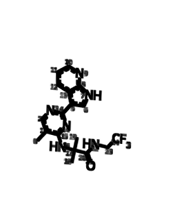 Cc1cnc(-c2c[nH]c3ncccc23)nc1NC(C)(C)C(=O)NCC(F)(F)F